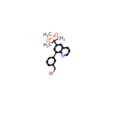 CC(C)(c1cc(-c2cccc(CBr)c2)c2ncccc2c1)S(C)(=O)=O